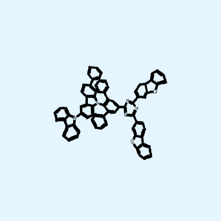 C1=C(c2nc(-c3cc(-c4ccccc4)c(-n4c5ccc(-n6c7ccccc7c7ccccc76)cc5c5ccc(-c6ccccc6)cc54)c(-c4ccccc4)c3)nc(-c3ccc4c(c3)oc3ccccc34)n2)C=C2Oc3ccccc3C2C1